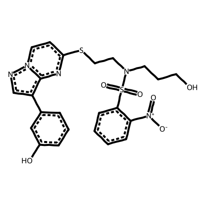 O=[N+]([O-])c1ccccc1S(=O)(=O)N(CCCO)CCSc1ccn2ncc(-c3cccc(O)c3)c2n1